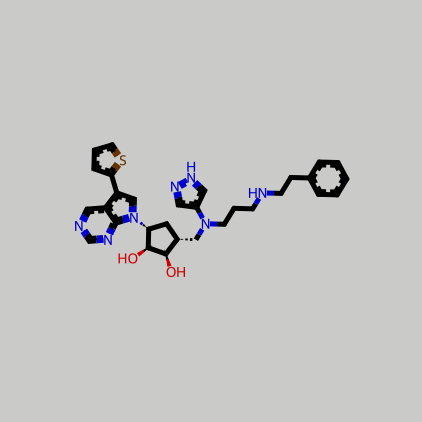 O[C@@H]1[C@@H](CN(CCCNCCc2ccccc2)c2cn[nH]c2)C[C@@H](n2cc(-c3cccs3)c3cncnc32)[C@@H]1O